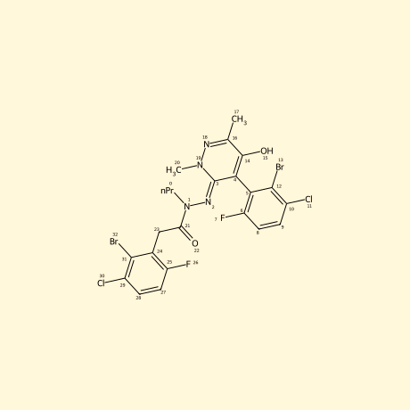 CCCN(N=c1c(-c2c(F)ccc(Cl)c2Br)c(O)c(C)nn1C)C(=O)Cc1c(F)ccc(Cl)c1Br